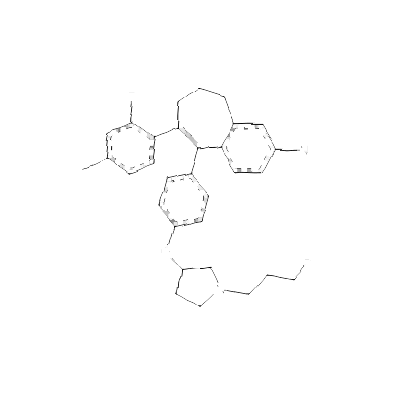 CCc1cc(C)ccc1C1=C(c2ccc(OC3CCN(CCCF)C3)cc2)c2ccc(N)cc2CCC1